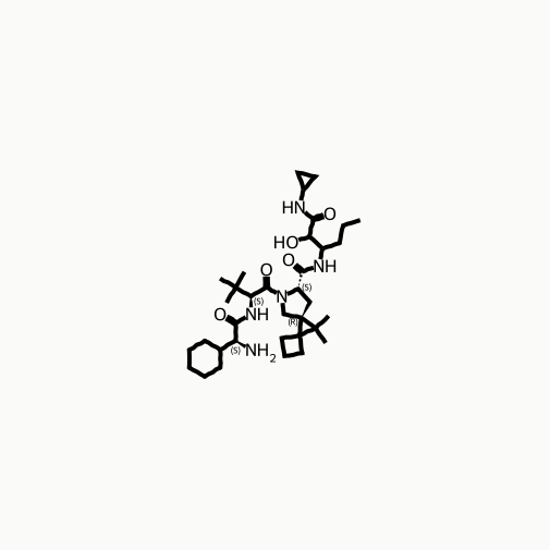 CCCC(NC(=O)[C@@H]1C[C@@]2(CN1C(=O)[C@@H](NC(=O)[C@@H](N)C1CCCCC1)C(C)(C)C)C(C)(C)C21CCC1)C(O)C(=O)NC1CC1